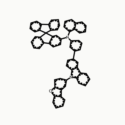 c1cc(-c2ccc3c(c2)c2ccccc2n3-c2ccc3oc4ccccc4c3c2)cc(N(c2ccc3c(c2)C2(c4ccccc4-c4ccccc42)c2ccccc2-3)c2cccc3ccccc23)c1